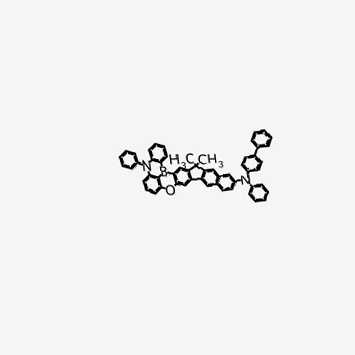 CC1(C)c2cc3c(cc2-c2cc4ccc(N(c5ccccc5)c5ccc(-c6ccccc6)cc5)cc4cc21)Oc1cccc2c1B3c1ccccc1N2c1ccccc1